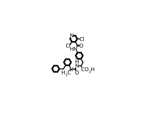 CN(C(=O)NC(Cc1ccc(NC(=O)c2c(Cl)cncc2Cl)cc1)C(=O)O)c1ccccc1Cc1ccccc1